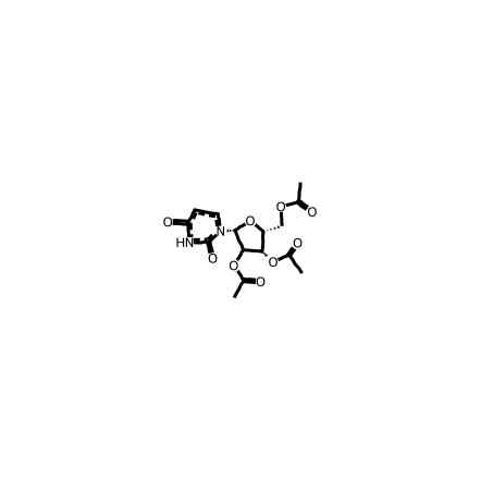 CC(=O)OC[C@H]1O[C@@H](n2ccc(=O)[nH]c2=O)C(OC(C)=O)[C@H]1OC(C)=O